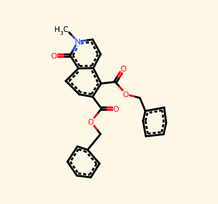 Cn1ccc2c(C(=O)OCc3ccccc3)c(C(=O)OCc3ccccc3)ccc2c1=O